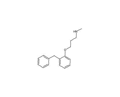 CNCCCOc1ccccc1Cc1ccccc1